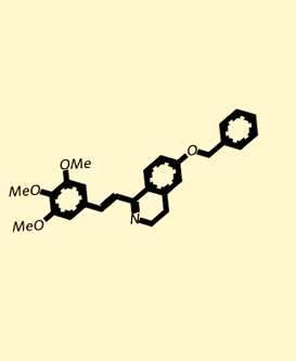 COc1cc(C=CC2=NCCc3cc(OCc4ccccc4)ccc32)cc(OC)c1OC